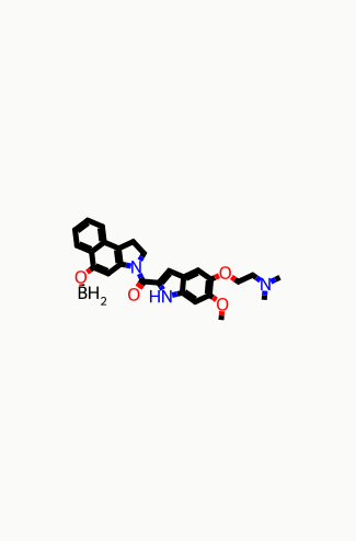 BOc1cc2c(c3ccccc13)CCN2C(=O)c1cc2cc(OCCN(C)C)c(OC)cc2[nH]1